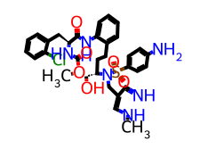 CN/C=C(\C=N)CN([C@H](CO)CCc1ccccc1NC(=O)[C@H](Cc1ccccc1Cl)NC(=O)OC)S(=O)(=O)c1ccc(N)cc1